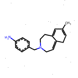 CC1=CCC2=CCN(Cc3ccc(N)cc3)CCC2=C1